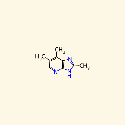 Cc1nc2c(C)c(C)cnc2[nH]1